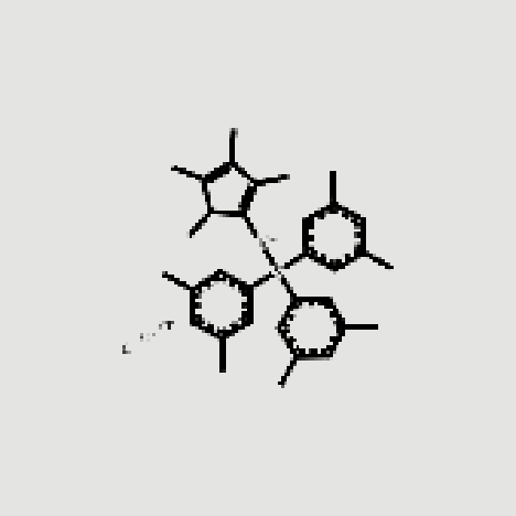 CC1=C(C)C(C)[C]([Ti+3][Si](c2cc(C)cc(C)c2)(c2cc(C)cc(C)c2)c2cc(C)cc(C)c2)=C1C.[Cl-].[Cl-].[Cl-]